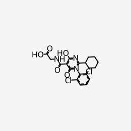 O=C(O)CNC(=O)c1c(O)nc(C2CCCCC2)n(-c2c(Cl)cccc2Cl)c1=O